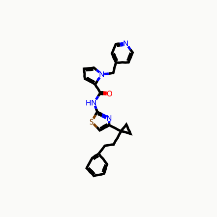 O=C(Nc1nc(C2(CCc3ccccc3)CC2)cs1)c1cccn1Cc1ccncc1